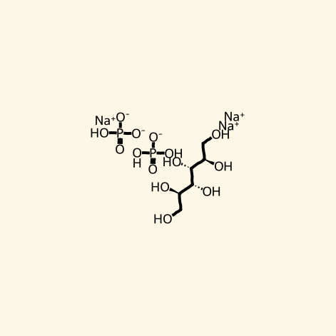 O=P([O-])(O)O.O=P([O-])([O-])O.OC[C@@H](O)[C@@H](O)[C@H](O)[C@H](O)CO.[Na+].[Na+].[Na+]